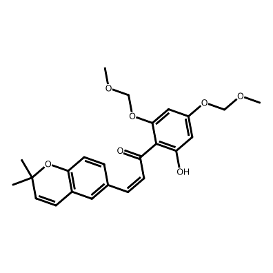 COCOc1cc(O)c(C(=O)/C=C\c2ccc3c(c2)C=CC(C)(C)O3)c(OCOC)c1